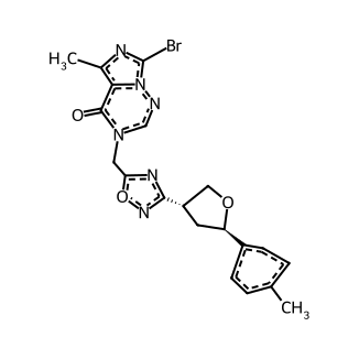 Cc1ccc([C@H]2C[C@H](c3noc(Cn4cnn5c(Br)nc(C)c5c4=O)n3)CO2)cc1